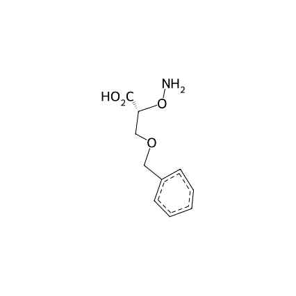 NO[C@H](COCc1ccccc1)C(=O)O